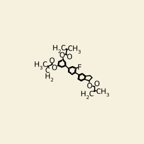 C=C(C)C(=O)Oc1cc(OC(=O)C(=C)C)cc(-c2ccc(-c3ccc4c(c3)CCC4OC(=O)C(=C)C)c(F)c2)c1